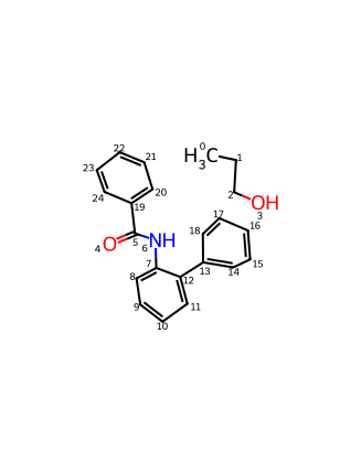 CCCO.O=C(Nc1ccccc1-c1ccccc1)c1ccccc1